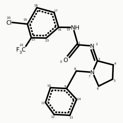 O=C(/N=C1/CCCN1Cc1ccccc1)Nc1ccc(Cl)c(C(F)(F)F)c1